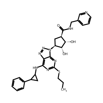 CCCSc1nc(NC2CC2c2ccccc2)c2nnn([C@H]3C[C@@H](C(=O)NCc4cccnc4)[C@H](O)[C@@H]3O)c2n1